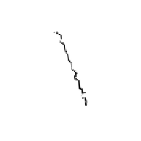 [CH2]CCCCCCCCC=CCC=CCCC